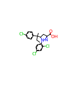 CCC(C)(c1ccc(Cl)cc1)C1CC(C(=O)O)=NN1c1ccc(Cl)cc1Cl